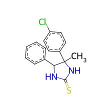 CC1(c2ccc(Cl)cc2)NC(=S)NC1c1ccccc1